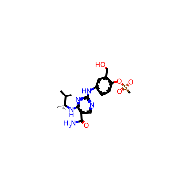 CC(C)[C@@H](C)Nc1nc(Nc2ccc(OS(C)(=O)=O)c(CO)c2)ncc1C(N)=O